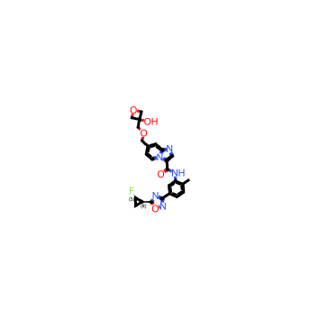 Cc1ccc(-c2noc([C@H]3C[C@@H]3F)n2)cc1NC(=O)c1cnc2cc(COCC3(O)COC3)ccn12